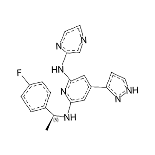 C[C@H](Nc1cc(-c2cc[nH]n2)cc(Nc2cnccn2)n1)c1ccc(F)cc1